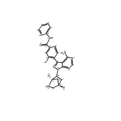 Nc1ncnc2c1c(-c1ccc(C(=O)Nc3ccccn3)cc1F)nn2C1C[C@@H]2CN[C@@H]1C2